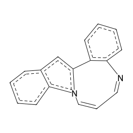 C1=C\n2c(cc3ccccc32)-c2ccccc2\N=C/1